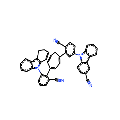 N#Cc1ccc2c(c1)c1ccccc1n2-c1ccc(C#N)c(C2=CC=C(c3c(C#N)cccc3-n3c4c(c5ccccc53)CCC=C4)C=CC2)c1